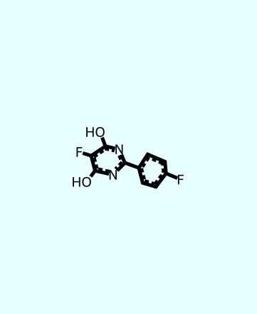 Oc1nc(-c2ccc(F)cc2)nc(O)c1F